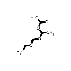 CC[SH]=COC(C)OC(C)=O